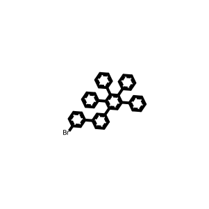 Brc1cccc(-c2cccc(-c3cc(-c4ccccc4)c(-c4ccccc4)c(-c4ccccc4)c3-c3ccccc3)c2)c1